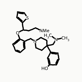 CNCCC(Oc1ccccc1CN1CCC(CN(C)C)(c2cccc(O)c2)CC1)c1cccs1